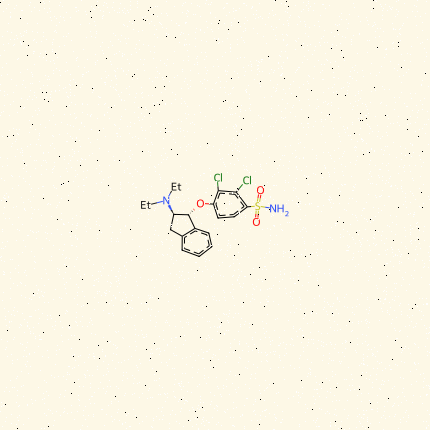 CCN(CC)[C@@H]1Cc2ccccc2[C@H]1Oc1ccc(S(N)(=O)=O)c(Cl)c1Cl